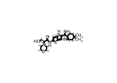 CC1(C)CCC2(C(=N)c3cc4sc(NC(=O)[C@H](CO)N5CCOCC5)cc4[nH]3)NC2C1